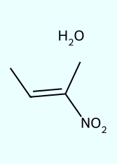 CC=C(C)[N+](=O)[O-].O